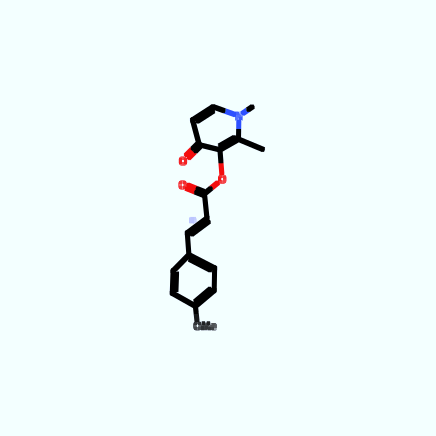 COc1ccc(/C=C/C(=O)Oc2c(C)n(C)ccc2=O)cc1